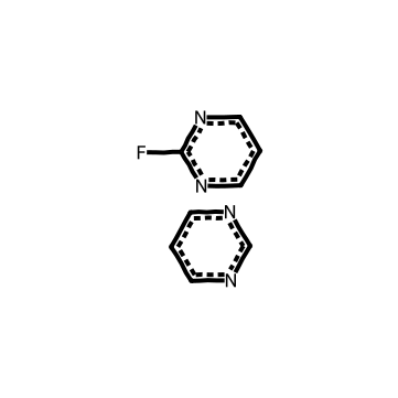 Fc1ncccn1.c1cncnc1